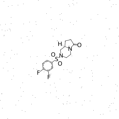 O=C1CC[C@@H]2CN(S(=O)(=O)c3ccc(F)c(F)c3)CCN12